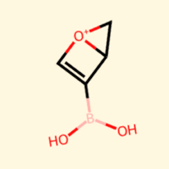 OB(O)C1=C[O+]2CC12